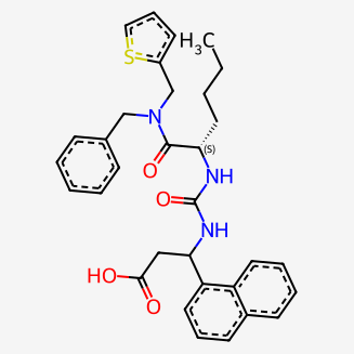 CCCC[C@H](NC(=O)NC(CC(=O)O)c1cccc2ccccc12)C(=O)N(Cc1ccccc1)Cc1cccs1